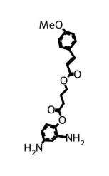 COc1ccc(/C=C/C(=O)OCCCC(=O)Oc2ccc(N)cc2N)cc1